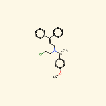 COc1ccc([C@@H](C)N(CC=C(c2ccccc2)c2ccccc2)CCCl)cc1